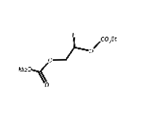 CCOC(=O)OC(F)COC(=O)OC